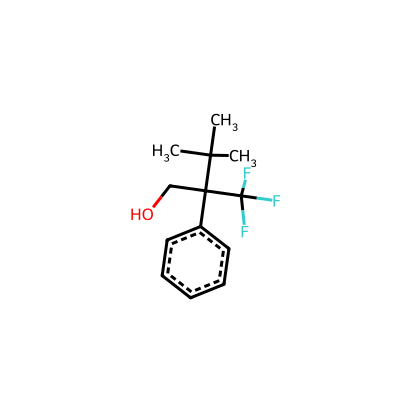 CC(C)(C)C(CO)(c1ccccc1)C(F)(F)F